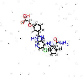 NC(=O)[C@H]1[C@H](Nc2c(Cl)cnc3[nH]c(-c4cccc(OCC(=O)O)c4)nc23)[C@@H]2C=C[C@@H]1C2